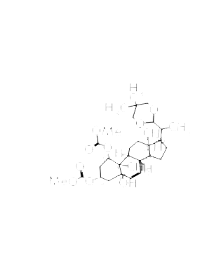 COC(=O)O[C@H]1C[C@H](OC(=O)OC)[C@]2(C)[C@H]3CC[C@]4(C)[C@@H](C(C)C5OCC(C)(C)CO5)CC[C@H]4[C@@H]3C=C[C@@]2(O)C1